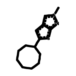 Cn1cc2cc(C3CCCCCCC3)sc2n1